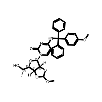 COc1ccc(C(Nc2ccn([C@@H]3O[C@H]([C@H](C)O)[C@H]4OC(OC)O[C@H]43)c(=O)n2)(c2ccccc2)c2ccccc2)cc1